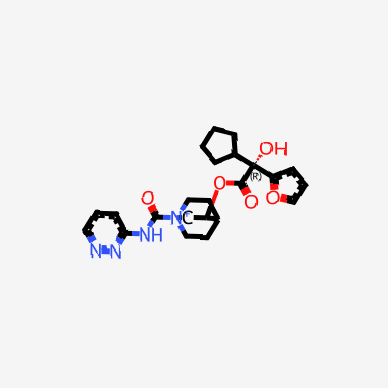 O=C(OC1C[N+]2(C(=O)Nc3cccnn3)CCC1CC2)[C@](O)(c1ccco1)C1CCCC1